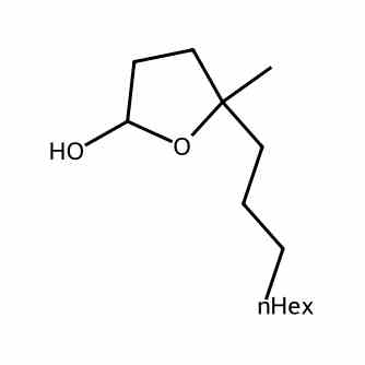 CCCCCCCCCC1(C)CCC(O)O1